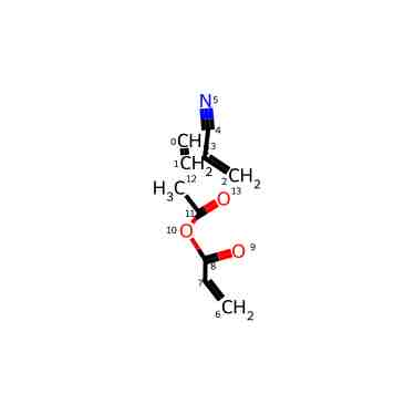 C=C.C=CC#N.C=CC(=O)OC(C)=O